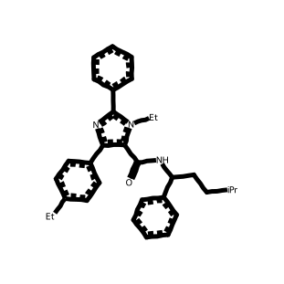 CCc1ccc(-c2nc(-c3ccccc3)n(CC)c2C(=O)NC(CCC(C)C)c2ccccc2)cc1